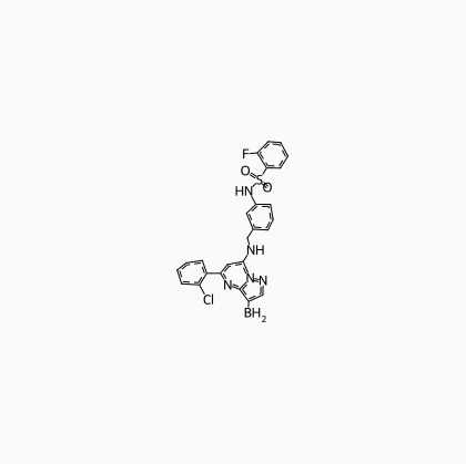 Bc1cnn2c(NCc3cccc(NS(=O)(=O)c4ccccc4F)c3)cc(-c3ccccc3Cl)nc12